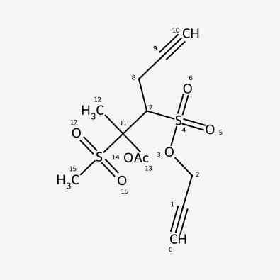 C#CCOS(=O)(=O)C(CC#C)C(C)(OC(C)=O)S(C)(=O)=O